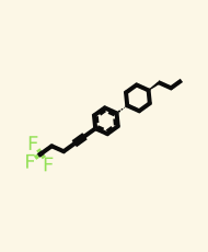 CCC[C@H]1CC[C@H](c2ccc(C#CCCC(F)(F)F)cc2)CC1